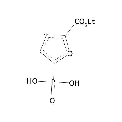 CCOC(=O)c1[c]cc(P(=O)(O)O)o1